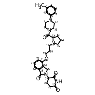 Cc1cccc(N2CCN(C(=O)C3CCCN3CCCOc3cccc4c3CN(C3CCC(=O)NC3=O)C4=O)CC2)c1